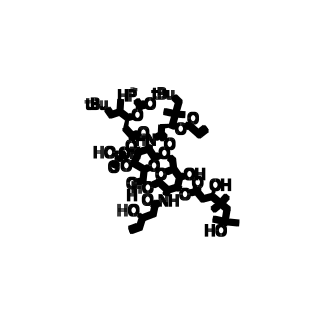 C=CC(=O)O[C@@H](CC(=O)NC1C(OCC2OC(O)C(NC(=O)C[C@H](O)C=C)C(OC(=O)C[C@H](O)C(C)(C)CC(C)(C)O)C2O)OC(CO)C(OP(=O)(O)O)C1OC(=O)C[C@H](OC(=O)PC)C(C)CC(C)(C)C)C(C)(C)CC(C)(C)C